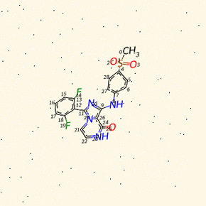 CS(=O)(=O)c1ccc(Nc2nc(-c3c(F)cccc3F)n3cc[nH]c(=O)c23)cc1